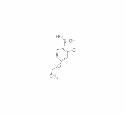 CCOc1ccc(B(O)O)c(Cl)c1